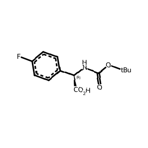 CC(C)(C)OC(=O)N[C@@H](C(=O)O)c1ccc(F)cc1